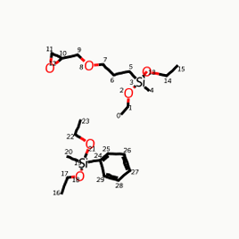 CCO[Si](C)(CCCOCC1CO1)OCC.CCO[Si](C)(OCC)c1ccccc1